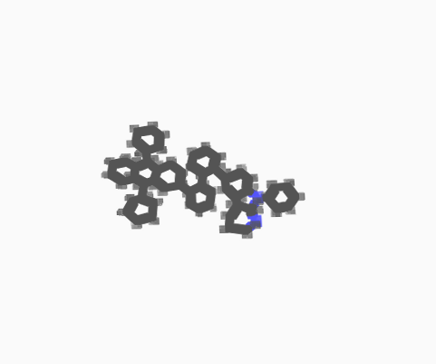 C1=C(c2ccccc2-c2ccccc2-c2ccc3c(c2)c2cccnc2n3-c2ccccc2)C=C2C(c3ccccc3)=c3ccccc3=C(c3ccccc3)C2C1